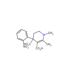 CC1=C(C(=O)O)C(C(=O)O)(c2ccccc2[N+](=O)[O-])CCN1C